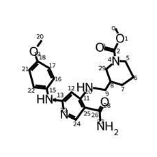 COC(=O)N1CCCC(CNc2cc(Nc3ccc(OC)cc3)ncc2C(N)=O)C1